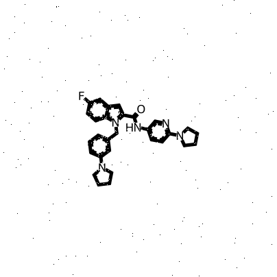 O=C(Nc1ccc(N2CCCC2)nc1)c1cc2cc(F)ccc2n1Cc1cccc(N2CCCC2)c1